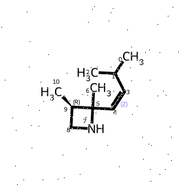 CC(C)/C=C\C1(C)NC[C@H]1C